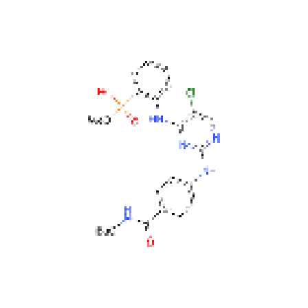 COP(=O)(O)c1ccccc1Nc1nc(Nc2ccc(C(=O)NOCC(C)C)cc2)ncc1Cl